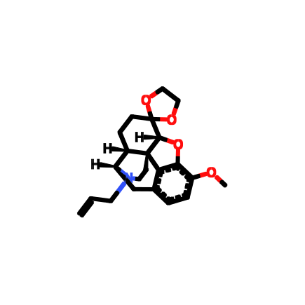 C=CCN1CC[C@]23c4c5ccc(OC)c4O[C@H]2C2(CC[C@H]3[C@H]1C5)OCCO2